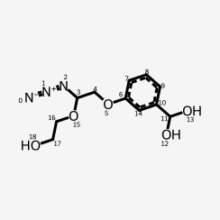 [N-]=[N+]=NC(COc1cccc(C(O)O)c1)OCCO